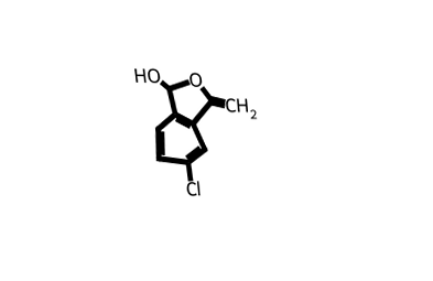 C=C1OC(O)c2ccc(Cl)cc21